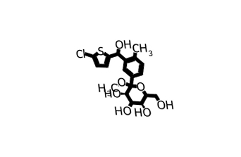 COC1(c2ccc(C)c(C(O)c3ccc(Cl)s3)c2)OC(CO)[C@@H](O)C(O)[C@H]1O